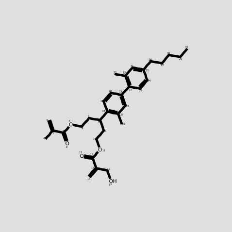 C=C(C)C(=O)OCCC(CCOC(=O)C(=C)CO)c1ccc(-c2ccc(CCCCC)cc2C)cc1C